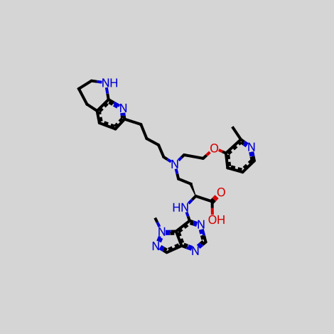 Cc1ncccc1OCCN(CCCCc1ccc2c(n1)NCCC2)CC[C@H](Nc1ncnc2cnn(C)c12)C(=O)O